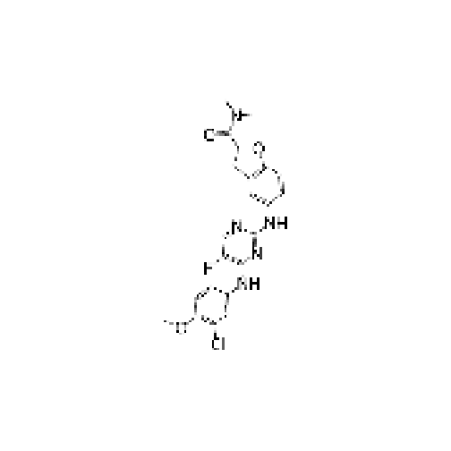 COc1ccc(Nc2nc(Nc3ccc4c(c3)CC(C(=O)N(C)C)O4)ncc2F)cc1Cl